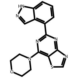 c1cc(-c2nc(N3CCOCC3)c3scnc3n2)c2cn[nH]c2c1